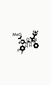 COCC(C)[C@@H]1C[C@@H](NC(=O)Nc2c(C)c(-c3cnn(C)c3)nn2-c2ccccc2)[C@H](c2ccc(F)c(F)c2)N1C